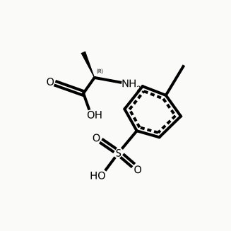 C[C@@H](N)C(=O)O.Cc1ccc(S(=O)(=O)O)cc1